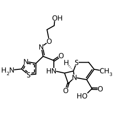 CC1=C(C(=O)O)N2C(=O)C(NC(=O)/C(=N\OCCO)c3csc(N)n3)[C@H]2SC1